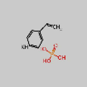 C=Cc1ccccc1.O=P(O)(O)O.[KH]